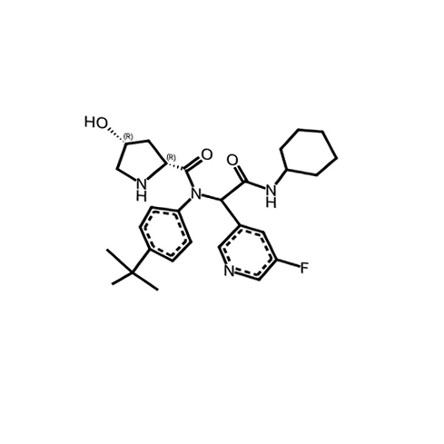 CC(C)(C)c1ccc(N(C(=O)[C@H]2C[C@@H](O)CN2)C(C(=O)NC2CCCCC2)c2cncc(F)c2)cc1